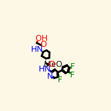 COc1cc(F)c(F)cc1-c1cc(NC(=O)C[C@H]2CCC[C@@H](NC(=O)CO)C2)ncc1F